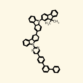 CC1(C)c2ccccc2-c2ccc(N3c4ccccc4C4C=C(C5C=c6c(n(-c7ncc(-c8ccc(-c9cccc(-c%10ccccc%10)c9)cc8)cn7)c7ccccc67)=CC5)C=CC43)cc21